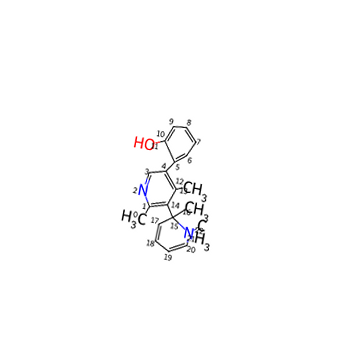 Cc1ncc(-c2ccccc2O)c(C)c1C1(C)C=CC=CN1C